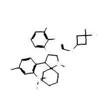 CC(C)N(C=O)c1cc(Cl)ccc1C1[C@@H](c2cccc(Cl)c2F)[C@H](C(=O)NC2CC(C)(O)C2)N(C)C12CCCCC2